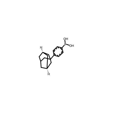 OB(O)c1ccc(C23CC4C[C@H](C2)C[C@@H](C4)C3)cc1